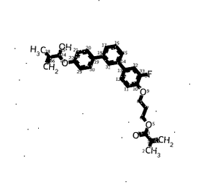 C=C(C)C(=O)OCCCOc1ccc(-c2cccc(-c3ccc(OC(O)C(=C)C)cc3)c2)cc1F